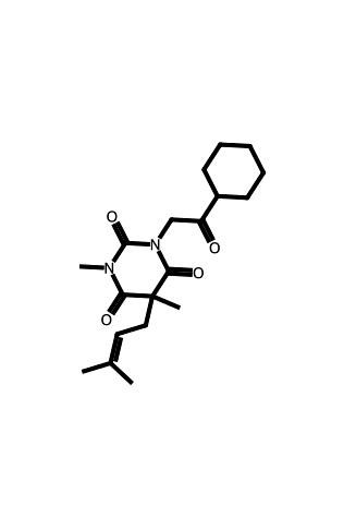 CC(C)=CCC1(C)C(=O)N(C)C(=O)N(CC(=O)C2CCCCC2)C1=O